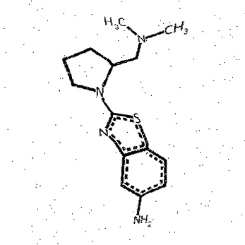 CN(C)CC1CCCN1c1nc2cc(N)ccc2s1